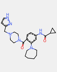 O=C(Nc1ccc(C(=O)N2CCN(Cc3cc[nH]n3)CC2)c(N2CCCCCC2)c1)C1CC1